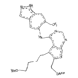 COCCCCc1c(COC)sc2ncnc(Nc3cc4cn[nH]c4cc3C)c12